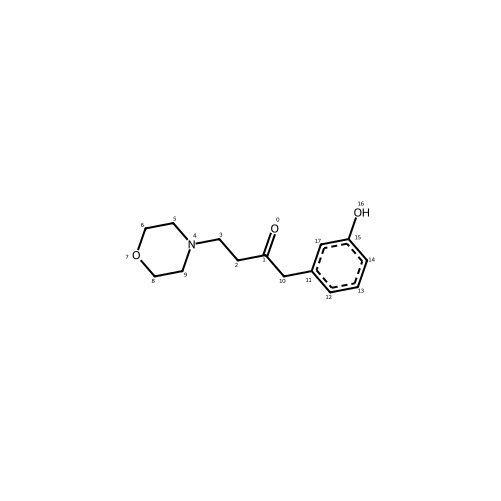 O=C(CCN1CCOCC1)Cc1cccc(O)c1